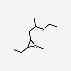 CCSC(C)CC1C(CC)N1C